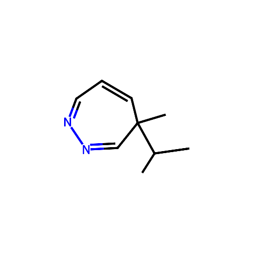 CC(C)C1(C)C=CC=NN=C1